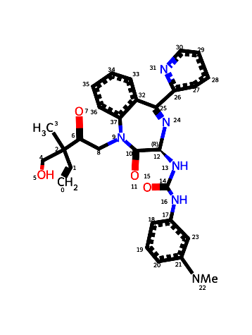 C=CC(C)(CO)C(=O)CN1C(=O)[C@H](NC(=O)Nc2cccc(NC)c2)N=C(c2ccccn2)c2ccccc21